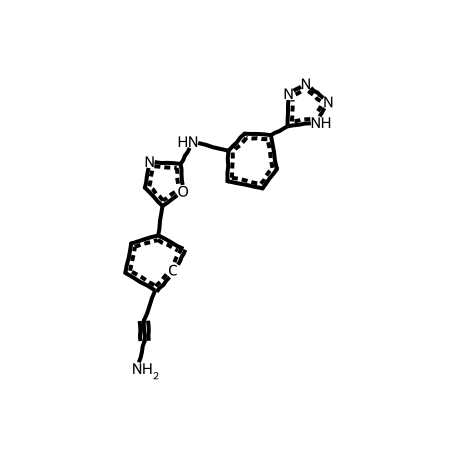 NC#Cc1ccc(-c2cnc(Nc3cccc(-c4nnn[nH]4)c3)o2)cc1